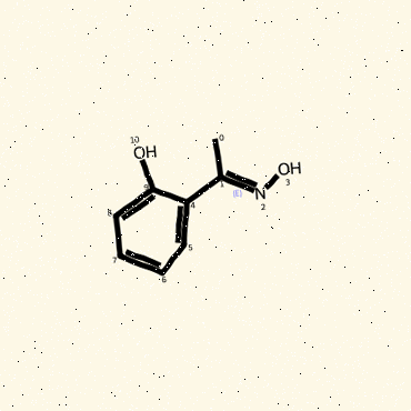 C/C(=N\O)c1ccccc1O